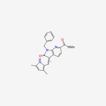 CNC(=O)c1ccc2c(n1)N(Cc1ccccc1)C(=O)/C2=C\c1[nH]c(C)cc1C